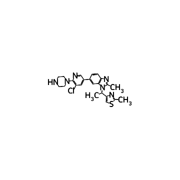 Cc1nc(C(C)n2c(C)nc3ccc(-c4cnc(N5CCNCC5)c(Cl)c4)cc32)cs1